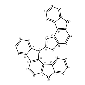 c1ccc2c(c1)oc1ccc3sc(-n4c5ccccc5c5ccc6oc7ccccc7c6c54)nc3c12